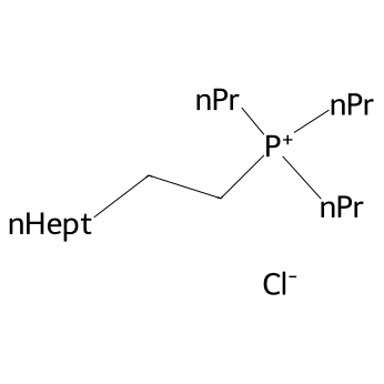 CCCCCCCCC[P+](CCC)(CCC)CCC.[Cl-]